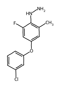 Cc1cc(Oc2cccc(Cl)c2)cc(F)c1NN